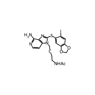 CC(=O)NCCCCn1c(Sc2cc3c(cc2I)OCO3)nc2c(N)nccc21